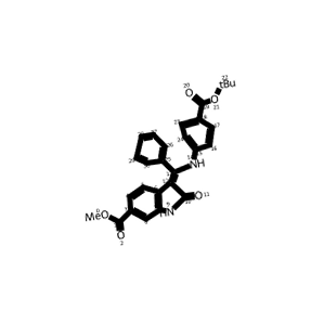 COC(=O)c1ccc2c(c1)NC(=O)/C2=C(\Nc1ccc(C(=O)OC(C)(C)C)cc1)c1ccccc1